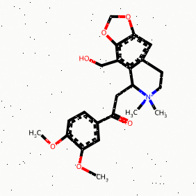 COc1ccc(C(=O)CC2c3c(cc4c(c3CO)OCO4)CC[N+]2(C)C)cc1OC